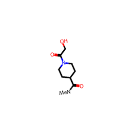 CNC(=O)C1CCN(C(=O)CO)CC1